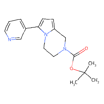 CC(C)(C)OC(=O)N1CCn2c(ccc2-c2cccnc2)C1